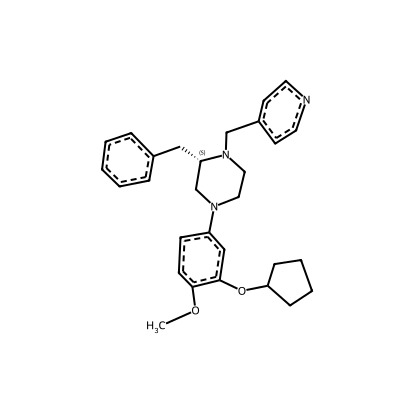 COc1ccc(N2CCN(Cc3ccncc3)[C@@H](Cc3ccccc3)C2)cc1OC1CCCC1